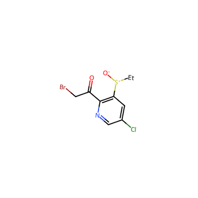 CC[S+]([O-])c1cc(Cl)cnc1C(=O)CBr